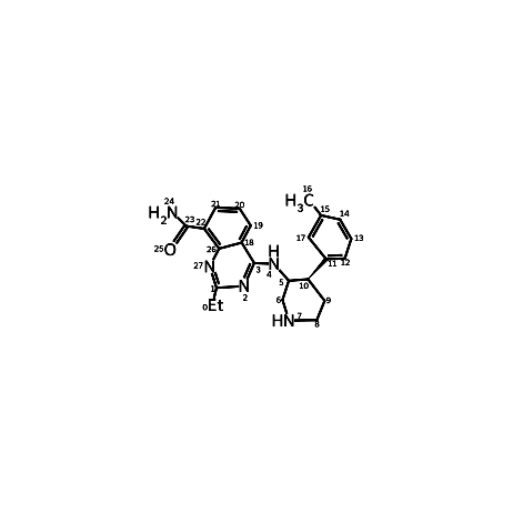 CCc1nc(NC2CNCC[C@@H]2c2cccc(C)c2)c2cccc(C(N)=O)c2n1